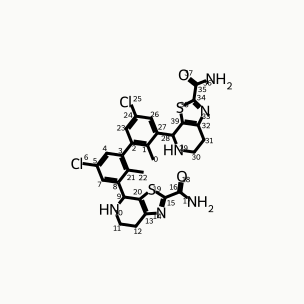 Cc1c(-c2cc(Cl)cc(C3NCCc4nc(C(N)=O)sc43)c2C)cc(Cl)cc1C1NCCc2nc(C(N)=O)sc21